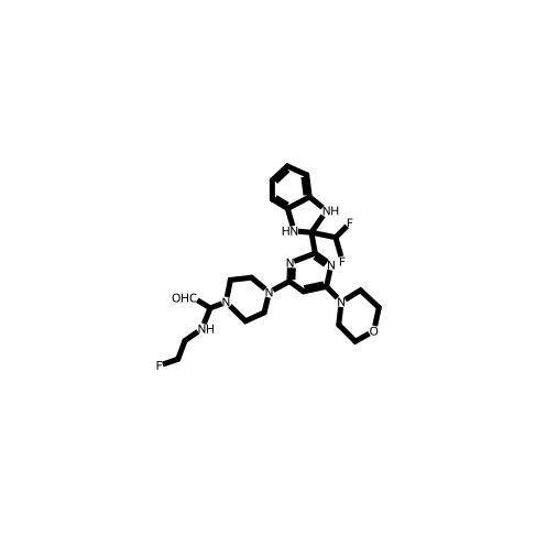 O=CC(NCCF)N1CCN(c2cc(N3CCOCC3)nc(C3(C(F)F)Nc4ccccc4N3)n2)CC1